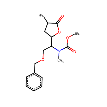 CC(C)C1CC(C(COCc2ccccc2)N(C)C(=O)OC(C)(C)C)OC1=O